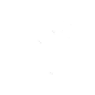 CCC1(C)N=C(n2ccccc2=O)c2cc(C#N)ccc2O1